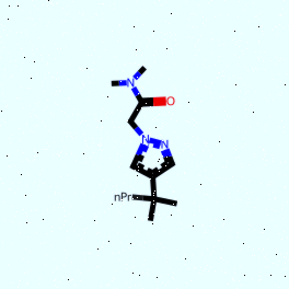 CCCC(C)(C)c1cnn(CC(=O)N(C)C)c1